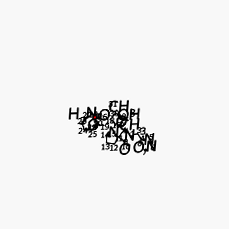 CC1N(Cc2nnco2)C(=O)C12CCCN2C(=O)[C@@](Cc1ccccc1)(OC(N)=O)[C@@H](C)O